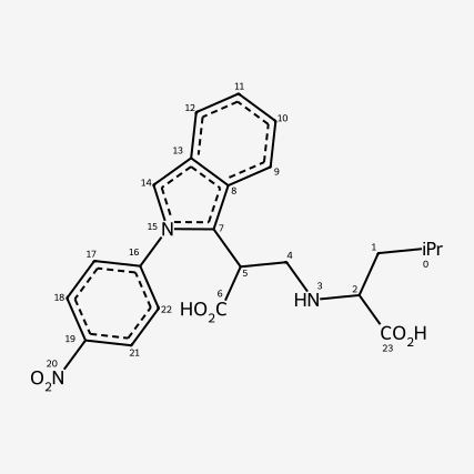 CC(C)CC(NCC(C(=O)O)c1c2ccccc2cn1-c1ccc([N+](=O)[O-])cc1)C(=O)O